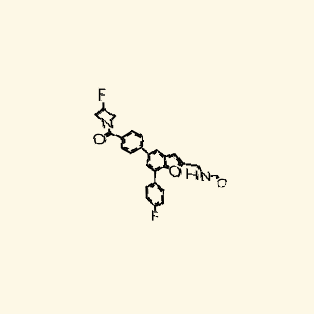 O=CNCc1cc2cc(-c3ccc(C(=O)N4CC(F)C4)cc3)cc(-c3ccc(F)cc3)c2o1